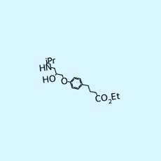 CCOC(=O)CCCc1ccc(OCC(O)CNC(C)C)cc1